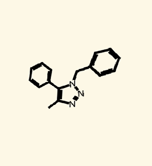 Cc1nnn(Cc2ccccc2)c1-c1ccccc1